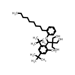 CCCCCCCCCc1ccccc1OC(c1c(C)cc(C(C)(C)C)cc1C(C)(C)C)C(CO)(CO)CO